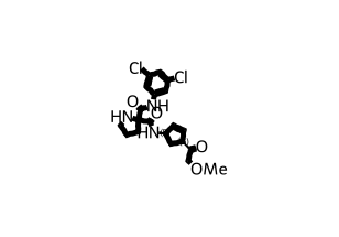 COCC(=O)[C@@H]1C=C[C@H](NC(=O)C2(C(=O)Nc3cc(Cl)cc(Cl)c3)CCCN2)C1